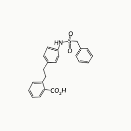 O=C(O)c1ccccc1CCc1ccc(NS(=O)(=O)Cc2ccccc2)cc1